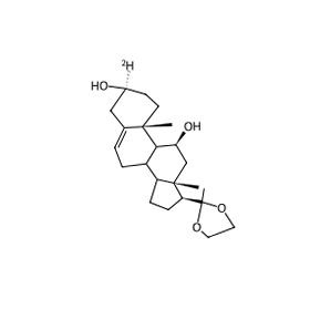 [2H][C@]1(O)CC[C@@]2(C)C(=CCC3C2[C@@H](O)C[C@@]2(C)C3CC[C@@H]2C2(C)OCCO2)C1